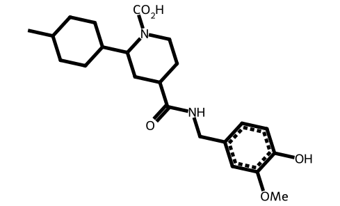 COc1cc(CNC(=O)C2CCN(C(=O)O)C(C3CCC(C)CC3)C2)ccc1O